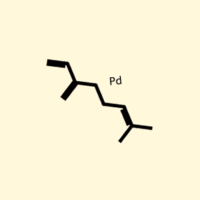 C=CC(=C)CCC=C(C)C.[Pd]